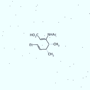 CCC=C[C@@H](C)[C@@H](C)C(=CC(=O)O)NC(C)=O